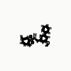 COc1cc(CNS(=O)(=O)c2cc(C)ccc2F)nc(-c2ccccn2)c1